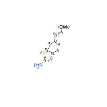 CO/C=N/C1CCc2nc(N)sc2C1